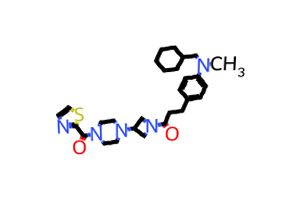 CN(CC1CCCCC1)c1ccc(CCC(=O)N2CC(N3CCN(C(=O)c4nccs4)CC3)C2)cc1